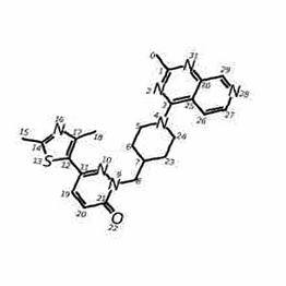 Cc1nc(N2CCC(Cn3nc(-c4sc(C)nc4C)ccc3=O)CC2)c2ccncc2n1